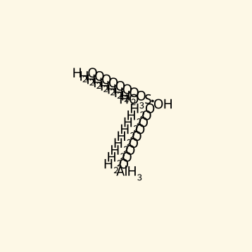 O.O.O.O.O.O.O.O.O.O.O.O.O.O.O.O.O.O=S(=O)(O)O.[AlH3]